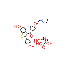 CCO.O=C(O)C(=O)O.O=C(c1ccc(OCCN2CCCCC2)cc1)c1c(-c2ccc(O)cc2)sc2cc(O)ccc12